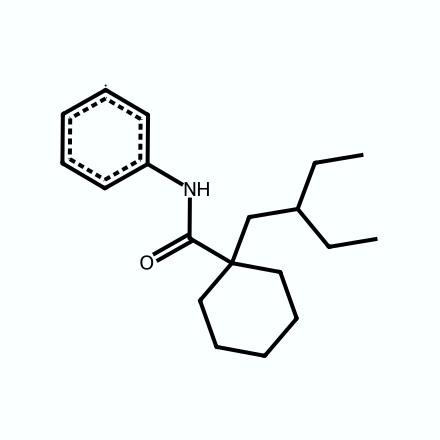 CCC(CC)CC1(C(=O)Nc2c[c]ccc2)CCCCC1